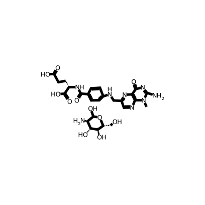 Cn1c(N)nc(=O)c2nc(CNc3ccc(C(=O)N[C@@H](CCC(=O)O)C(=O)O)cc3)cnc21.N[C@H]1C(O)O[C@H](CO)[C@@H](O)[C@@H]1O